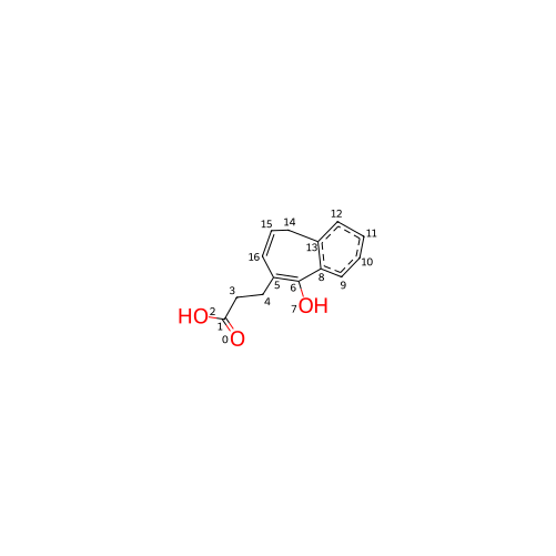 O=C(O)CCC1=C(O)c2ccccc2CC=C1